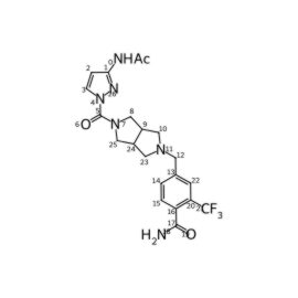 CC(=O)Nc1ccn(C(=O)N2CC3CN(Cc4ccc(C(N)=O)c(C(F)(F)F)c4)CC3C2)n1